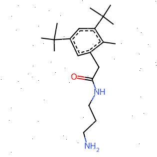 Cc1c(CC(=O)NCCCN)cc(C(C)(C)C)cc1C(C)(C)C